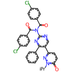 CC(C)n1nc(-c2cnc(N(C(=O)c3ccc(Cl)cc3)C(=O)c3ccc(Cl)cc3)nc2-c2ccccc2)ccc1=O